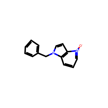 [O-][n+]1cccc2c1ccn2Cc1ccccc1